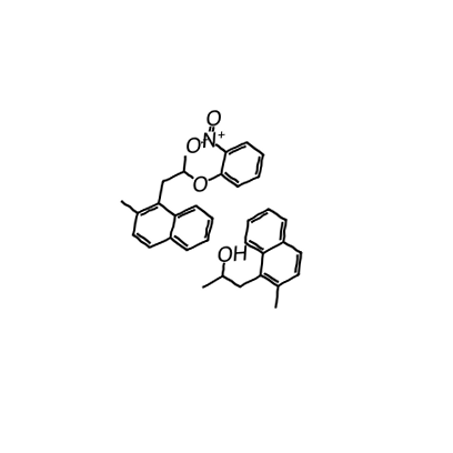 Cc1ccc2ccccc2c1CC(C)O.Cc1ccc2ccccc2c1CC(C)Oc1ccccc1[N+](=O)[O-]